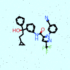 N#Cc1cccc(-n2nc(C(F)(F)F)cc2C(=O)Nc2cccc(C(O)(CCC3CC3)c3ccccc3)c2)c1